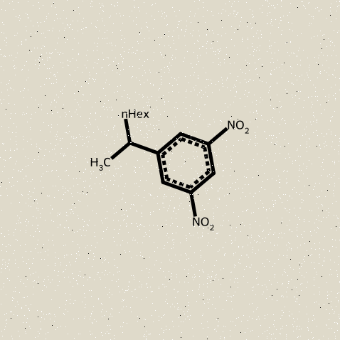 CCCCCCC(C)c1cc([N+](=O)[O-])cc([N+](=O)[O-])c1